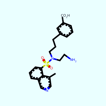 Cc1cncc2cccc(S(=O)(=O)N(CCN)CCCc3cccc(C(=O)O)c3)c12